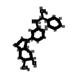 Cc1cc2ncn(-c3ccnc(NC(C)c4ccccc4)n3)c2cc1Cl